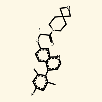 Cc1cc(F)cc(C)c1-c1ccnc2cc(O[C@H](C)C(=O)N3CCC4(CC3)COC4)ccc12